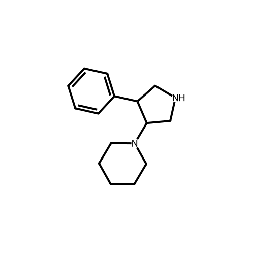 c1ccc(C2CNCC2N2CCCCC2)cc1